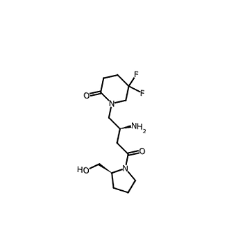 N[C@@H](CC(=O)N1CCC[C@H]1CO)CN1CC(F)(F)CCC1=O